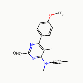 CC#CN(C)c1nc(C=O)nc(-c2ccc(OC(F)(F)F)cc2)c1C